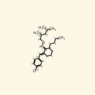 CCCCC1CCCC(=C\c2ccc(Cl)cc2)/C1=N/OCC(C)CN(C)C